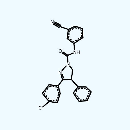 N#Cc1cccc(NC(=O)N2CC(c3ccccc3)C(c3ccc(Cl)cc3)=N2)c1